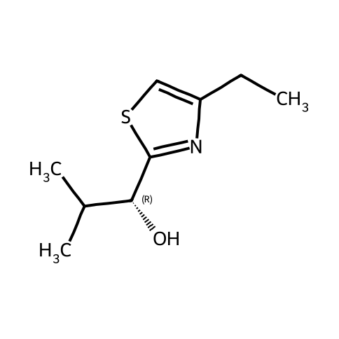 CCc1csc([C@H](O)C(C)C)n1